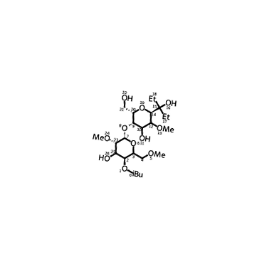 CCC(C)O[C@@H]1C(COC)O[C@@H](O[C@H]2C(O)C(OC)[C@H](C(O)(CC)CC)O[C@H]2CO)[C@@H](OC)C1O